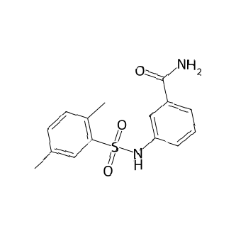 Cc1ccc(C)c(S(=O)(=O)Nc2cccc(C(N)=O)c2)c1